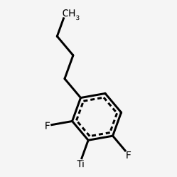 CCCCc1ccc(F)[c]([Ti])c1F